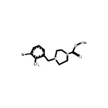 CC(C)(C)OC(=O)N1CCN(Cc2cccc(Br)c2C(F)(F)F)CC1